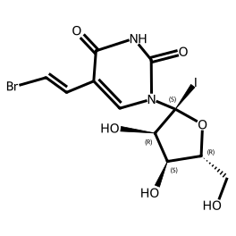 O=c1[nH]c(=O)n([C@]2(I)O[C@H](CO)[C@@H](O)[C@H]2O)cc1C=CBr